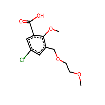 COCCOCc1cc(Cl)cc(C(=O)O)c1OC